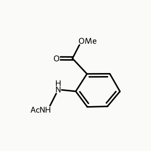 COC(=O)c1ccccc1NNC(C)=O